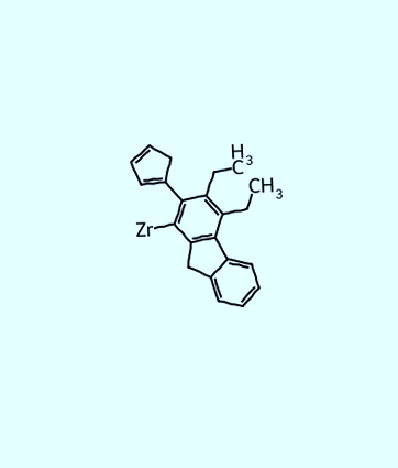 CCc1c(CC)c2c([c]([Zr])c1C1=CC=CC1)Cc1ccccc1-2